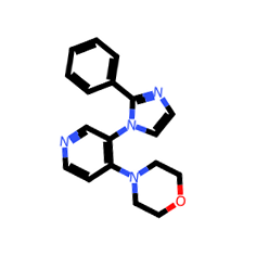 c1ccc(-c2nccn2-c2cnccc2N2CCOCC2)cc1